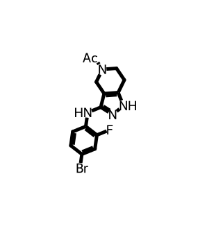 CC(=O)N1CCc2[nH]nc(Nc3ccc(Br)cc3F)c2C1